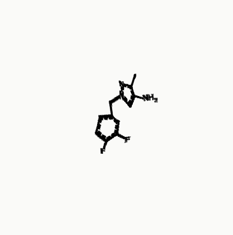 Cc1nn(Cc2ccc(F)c(F)c2)cc1N